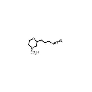 [N-]=[N+]=NCCCC1CN(C(=O)O)CCO1